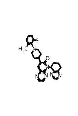 Cc1cccc(F)c1N1CCC(c2cc3nccnc3n(C3CCCc4nccnc43)c2=O)CC1